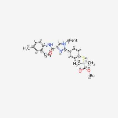 CCCCCn1cc(C(=O)Nc2ccc(C)cc2C)nc1-c1ccc(SC(C)(C)C(=O)OC(C)(C)C)cc1